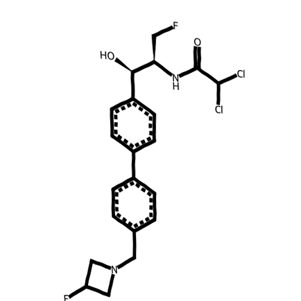 O=C(N[C@H](CF)[C@H](O)c1ccc(-c2ccc(CN3CC(F)C3)cc2)cc1)C(Cl)Cl